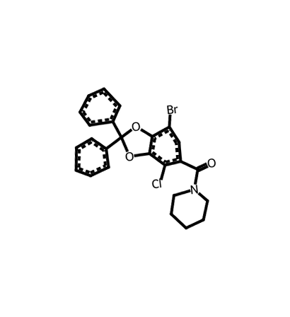 O=C(c1cc(Br)c2c(c1Cl)OC(c1ccccc1)(c1ccccc1)O2)N1CCCCC1